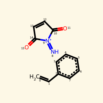 C=Cc1ccccc1.N=[N+]1C(=O)C=CC1=O